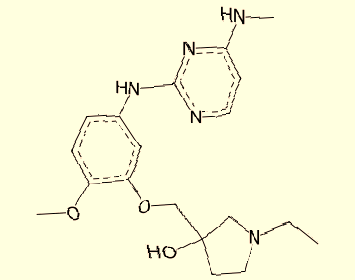 CCN1CCC(O)(COc2cc(Nc3nccc(NC)n3)ccc2OC)C1